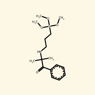 CO[Si](CCCNC(C)(C)C(=O)c1ccccc1)(OC)OC